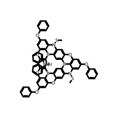 CSN1c2cc3c(cc2B2c4cc5c(cc4Oc4cc(Oc6ccccc6)cc1c42)N(SC)c1cc(Oc2ccccc2)cc2c1B5c1[nH]c4ccccc4c1O2)B1c2[nH]c4ccccc4c2Oc2cc(Oc4ccccc4)cc(c21)O3